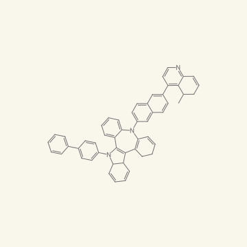 CC1CC=Cc2nccc(-c3ccc4cc(N5C6=C(CCC=C6)C6=C(c7ccccc75)N(c5ccc(-c7ccccc7)cc5)C5C=CC=CC65)ccc4c3)c21